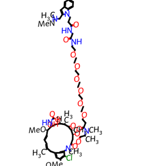 CNN(C)Cc1cc2ccccc2n1CCC(=O)NCC(=O)NCCOCCOCCOCCOCCOCCOCCC(=O)N(C)[C@@H](C)C(=O)O[C@H]1CC(=O)N(C)c2cc(cc(OC)c2Cl)C/C(C)=C/C=C/[C@@H](OC)[C@@]2(O)C[C@H](OC(=O)N2)[C@@H](C)C2O[C@]21C